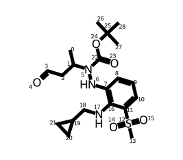 CC(CC=O)N(Nc1cccc(S(C)(=O)=O)c1NCC1CC1)C(=O)OC(C)(C)C